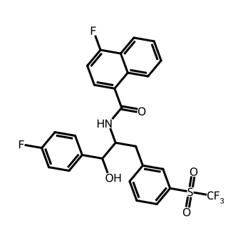 O=C(NC(Cc1cccc(S(=O)(=O)C(F)(F)F)c1)C(O)c1ccc(F)cc1)c1ccc(F)c2ccccc12